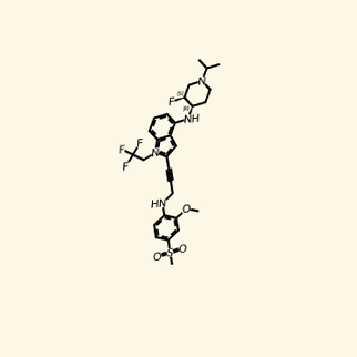 COc1cc(S(C)(=O)=O)ccc1NCC#Cc1cc2c(N[C@@H]3CCN(C(C)C)C[C@@H]3F)cccc2n1CC(F)(F)F